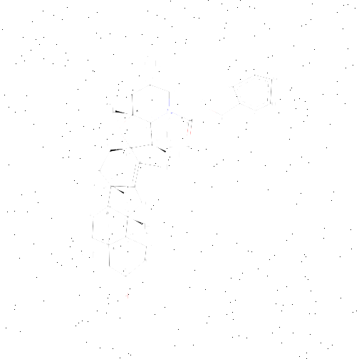 CC1=C2C[C@H]3[C@@H](CC[C@@H]4C[C@@H](O)CC[C@@]43C)[C@@H]2CC[C@]12O[C@@H]1C[C@H](C)CN(C(=O)OCc3ccccc3)[C@H]1[C@H]2C